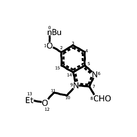 CCCCOc1ccc2nc(C=O)n(CCOCC)c2c1